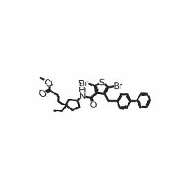 CCC1(CCC(=O)OC)CCC(NC(=O)c2c(Br)sc(Br)c2Cc2ccc(-c3ccccc3)cc2)C1